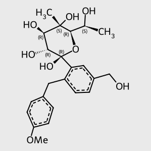 COc1ccc(Cc2ccc(CO)cc2[C@@]2(O)O[C@H]([C@H](C)O)[C@@](C)(O)[C@H](O)[C@H]2O)cc1